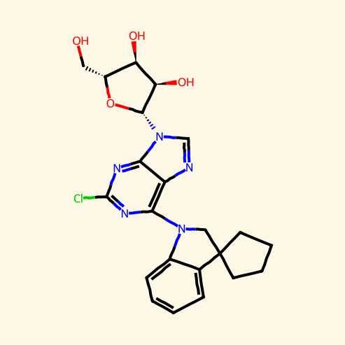 OC[C@H]1O[C@@H](n2cnc3c(N4CC5(CCCC5)c5ccccc54)nc(Cl)nc32)[C@H](O)[C@@H]1O